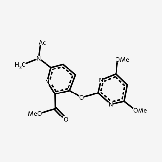 COC(=O)c1nc(N(C)C(C)=O)ccc1Oc1nc(OC)cc(OC)n1